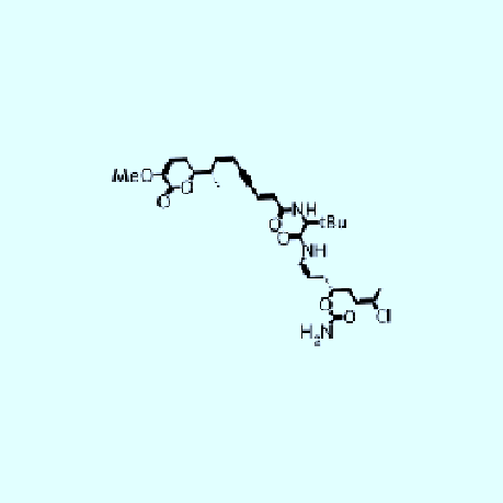 COC1=CC[C@@H]([C@@H](C)/C=C\C#C/C=C/C(=O)NC(C(=O)N/C=C\C[C@H](C/C=C(\C)Cl)OC(N)=O)C(C)(C)C)OC1=O